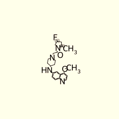 COc1ccnc2ccc(NC3CCN(CC(=O)N4C[C@@H](F)C[C@H]4C)CC3)cc12